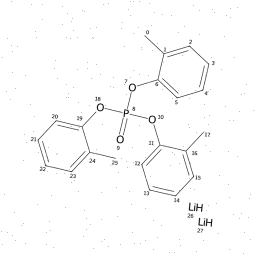 Cc1ccccc1OP(=O)(Oc1ccccc1C)Oc1ccccc1C.[LiH].[LiH]